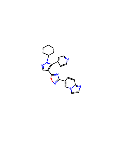 c1cc(-c2c(-c3nc(-c4ccc5nccn5c4)no3)cnn2C2CCCCC2)ccn1